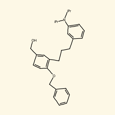 CC(C)N(c1cccc(CCCc2cc(CO)ccc2OCc2ccccc2)c1)C(C)C